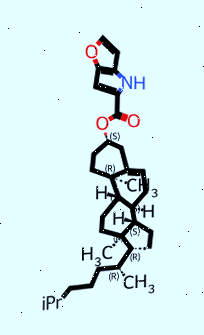 CC(C)CCC[C@@H](C)[C@H]1CC[C@H]2[C@@H]3CC=C4C[C@@H](OC(=O)c5cc6occc6[nH]5)CC[C@]4(C)[C@H]3CC[C@]12C